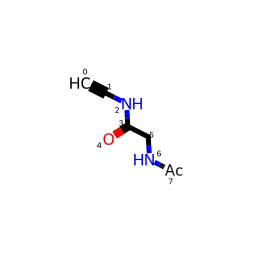 C#CNC(=O)CNC(C)=O